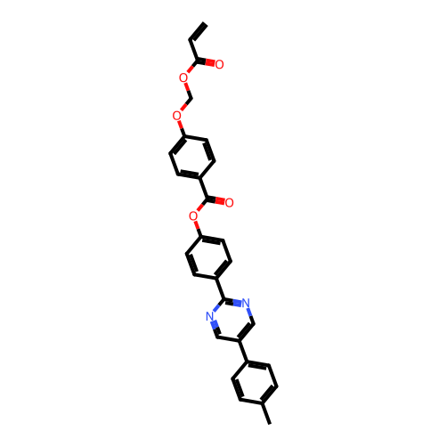 C=CC(=O)OCOc1ccc(C(=O)Oc2ccc(-c3ncc(-c4ccc(C)cc4)cn3)cc2)cc1